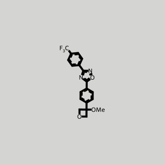 COC1(c2ccc(-c3nc(-c4ccc(C(F)(F)F)cc4)no3)cc2)COC1